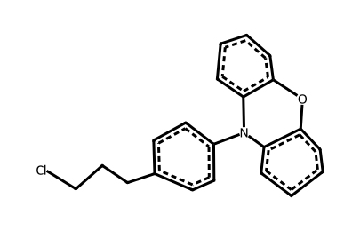 ClCCCc1ccc(N2c3ccccc3Oc3ccccc32)cc1